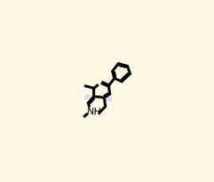 C=C(/C=C(CC)\C(=C/NC)C(C)C)c1ccccc1